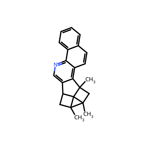 CC12CC3(C)C4(C)CC(c5cnc6c(ccc7ccccc76)c51)C243